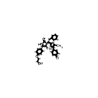 Cc1nc([C@H](Cc2ccccc2)N2C(=O)N[C@H](c3ccc(OCCO)cc3)C2=O)[nH]c1-c1ccc(Cl)cc1